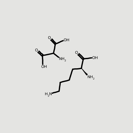 NC(C(=O)O)C(=O)O.NCCCC[C@H](N)C(=O)O